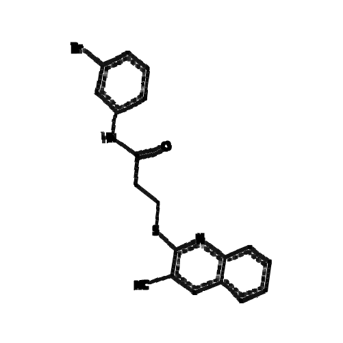 N#Cc1cc2ccccc2nc1SCCC(=O)Nc1cccc(Br)c1